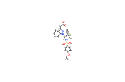 CCOc1ccc(S(=O)(=O)N2C[C@H](n3nc(CC(=O)O)c4ccccc43)[C@@](C)(F)C2)cc1